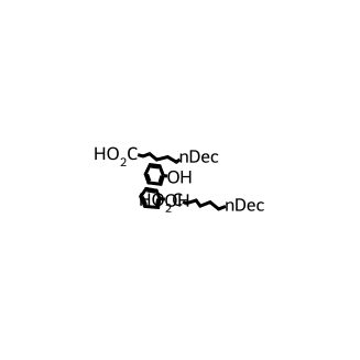 CCCCCCCCCCCCCCCC(=O)O.CCCCCCCCCCCCCCCC(=O)O.Oc1ccccc1.Oc1ccccc1